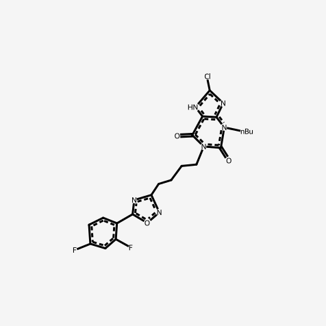 CCCCn1c(=O)n(CCCCc2noc(-c3ccc(F)cc3F)n2)c(=O)c2[nH]c(Cl)nc21